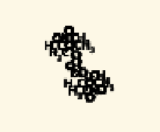 Cc1c(C)c(N(c2ccccc2)c2ccccc2)c(C)c(C)c1-c1ccc2c(c1)Oc1cccc3c1c-2cc1ccc(-c2c(C)c(C)c(N(c4ccccc4)c4ccccc4)c(C)c2C)cc13